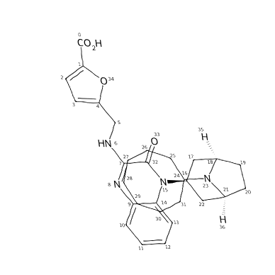 O=C(O)c1ccc(CNc2nc3ccccc3n([C@H]3C[C@H]4CC[C@@H](C3)N4C3CCCCCCC3)c2=O)o1